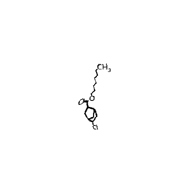 CCCCCCCCOC(=O)C1CC2CC1CC2Cl